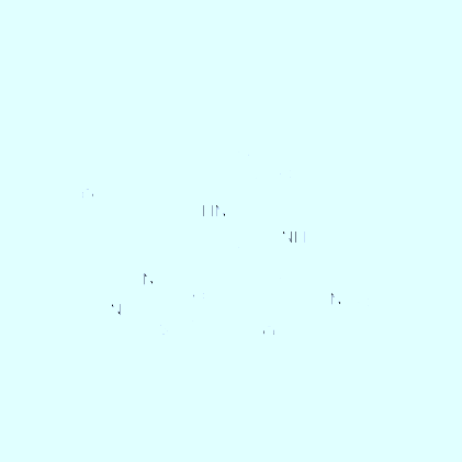 CCOC(=O)c1[nH]cc2c1NC1=C(C(=O)CN(OC(C)(C)C)C1)C2c1ccc(Sc2nc3cc(OC)ccc3[nH]2)o1